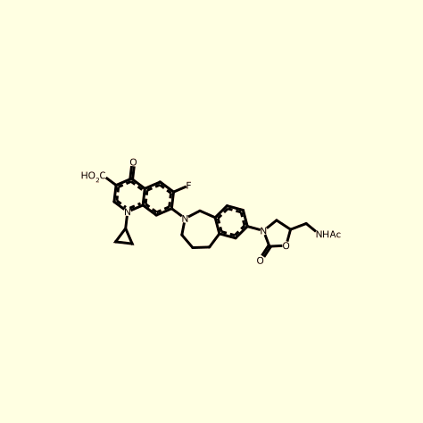 CC(=O)NCC1CN(c2ccc3c(c2)CCCN(c2cc4c(cc2F)c(=O)c(C(=O)O)cn4C2CC2)C3)C(=O)O1